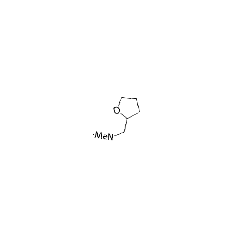 C[N]CC1CCCO1